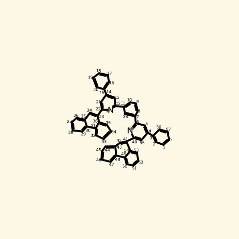 c1ccc(-c2cc(-c3cccc(-c4cc(-c5ccccc5)cc(-c5cc6ccccc6c6ccccc56)n4)c3)nc(-c3cc4ccccc4c4ccccc34)c2)cc1